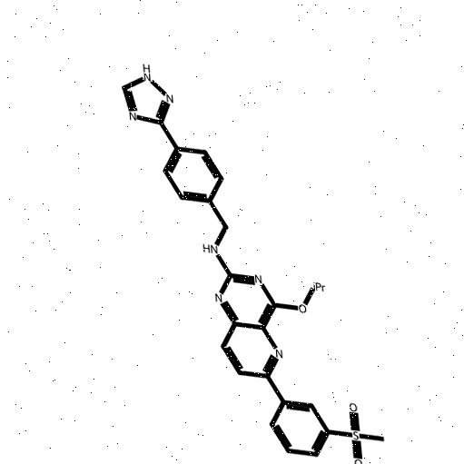 CC(C)Oc1nc(NCc2ccc(-c3nc[nH]n3)cc2)nc2ccc(-c3cccc(S(C)(=O)=O)c3)nc12